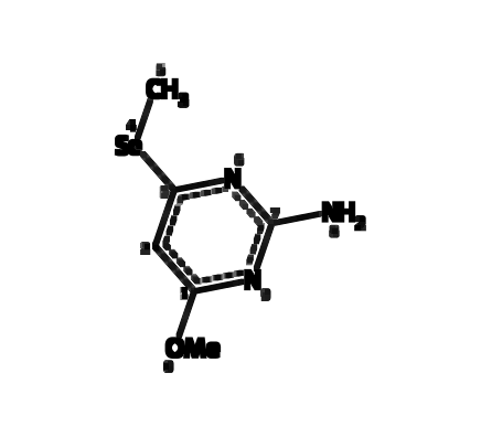 COc1cc([Se]C)nc(N)n1